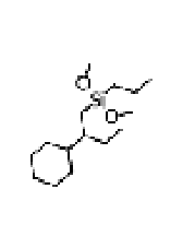 CCC[Si](CC(CC)C1CCCCC1)(OC)OC